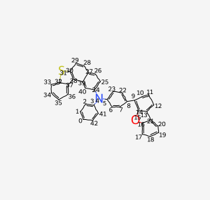 c1ccc(N(c2ccc(-c3cccc4c3oc3ccccc34)cc2)c2ccc3ccc4sc5ccccc5c4c3c2)cc1